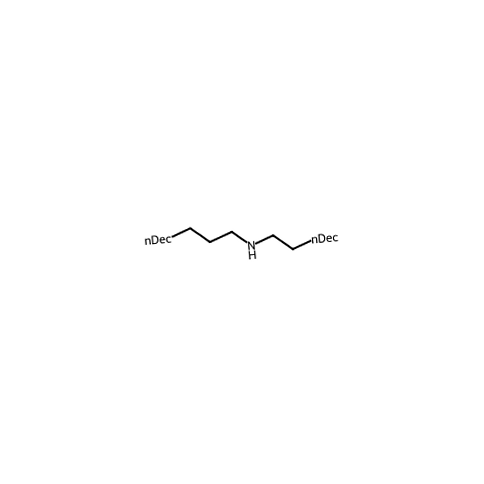 CCCCCCCCCCCCCNCCCCCCCCCCCC